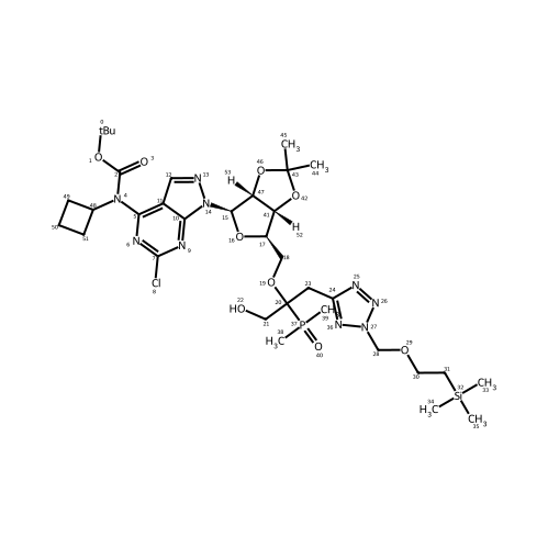 CC(C)(C)OC(=O)N(c1nc(Cl)nc2c1cnn2[C@@H]1O[C@H](COC(CO)(Cc2nnn(COCC[Si](C)(C)C)n2)P(C)(C)=O)[C@H]2OC(C)(C)O[C@H]21)C1CCC1